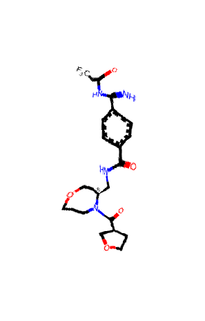 N=C(NC(=O)C(F)(F)F)c1ccc(C(=O)NC[C@@H]2COCCN2C(=O)C2CCOC2)cc1